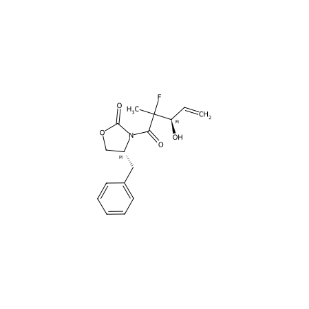 C=C[C@@H](O)C(C)(F)C(=O)N1C(=O)OC[C@H]1Cc1ccccc1